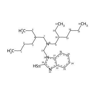 CCCCC(CC)CN(CC(CC)CCCC)Cn1c(S)nc2ccccc21